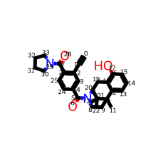 C#Cc1cc(C(=O)N2CCC3(C)c4cccc(O)c4CC2C3(C)C)ccc1C(=O)N1CCCC1